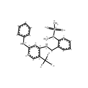 CN(c1ncccc1CNc1nc(Nc2ccccc2)ncc1C(F)(F)F)S(C)(=O)=O